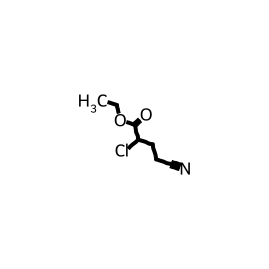 CCOC(=O)C(Cl)CCC#N